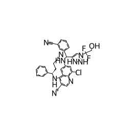 N#CCC[C@@H](Nc1c(C#N)cnc2c(Cl)cc(NC(C3=CN(C(F)(F)CO)NN3)c3cccc(C#N)c3)cc12)c1ccccc1